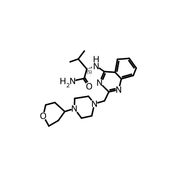 CC(C)[C@H](Nc1nc(CN2CCN(C3CCOCC3)CC2)nc2ccccc12)C(N)=O